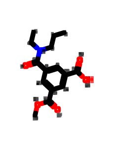 CCCN(CC)C(=O)c1cc(C(=O)O)cc(C(=O)OC)c1